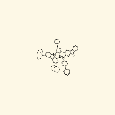 c1ccc(-c2ccc(N3B4c5c(cc(-c6ccccc6)cc5-n5c6ccc(C78CCCC(CCC7)C8)cc6c6cc(C78CCCC(CCC7)C8)cc4c65)-c4cc5c(cc43)sc3ccccc35)cc2)cc1